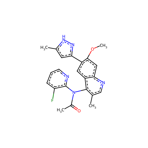 COc1cc2ncc(C)c(N(C(C)=O)c3ncccc3F)c2cc1-c1cc(C)[nH]n1